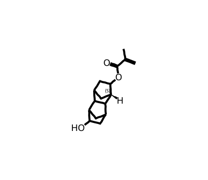 C=C(C)C(=O)OC1CC2C[C@H]1C1C3CC(O)C(C3)C21